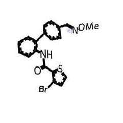 CO/N=C/c1ccc(-c2ccccc2NC(=O)c2sccc2Br)cc1